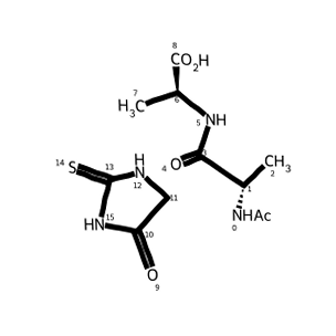 CC(=O)N[C@@H](C)C(=O)N[C@@H](C)C(=O)O.O=C1CNC(=S)N1